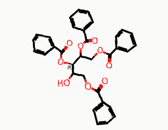 O=C(OCC(O)[C@@H](OC(=O)c1ccccc1)C(COC(=O)c1ccccc1)OC(=O)c1ccccc1)c1ccccc1